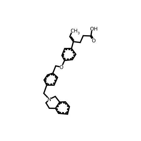 CC=C(CCC(=O)O)c1ccc(OCc2ccc(CN3CCc4ccccc4C3)cc2)cc1